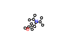 c1ccc(-c2cc(-c3ccccc3)cc(-c3cc(-c4cccc5c4-c4ccccc4C54c5ccccc5-c5c4ccc4c5oc5ccccc54)cc(-c4cc(-c5ccccc5)cc(-c5ccccc5)c4)n3)c2)cc1